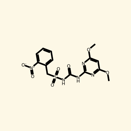 COc1cc(OC)nc(NC(=O)NS(=O)(=O)Cc2ccccc2[N+](=O)[O-])n1